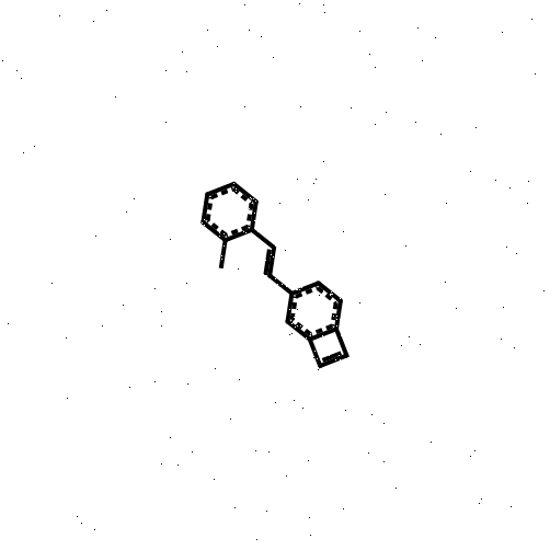 Cc1ccccc1C=Cc1ccc2c(c1)C=C2